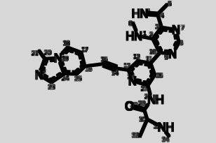 CNc1c(C(C)=N)ncnc1-c1cc(C#Cc2ccn3c(C)ncc3c2)nc(NC(=O)C(C)NC)c1